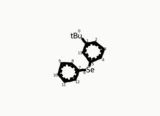 CC(C)(C)c1cccc([Se]c2ccccc2)c1